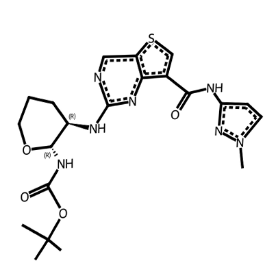 Cn1ccc(NC(=O)c2csc3cnc(N[C@@H]4CCCO[C@H]4NC(=O)OC(C)(C)C)nc23)n1